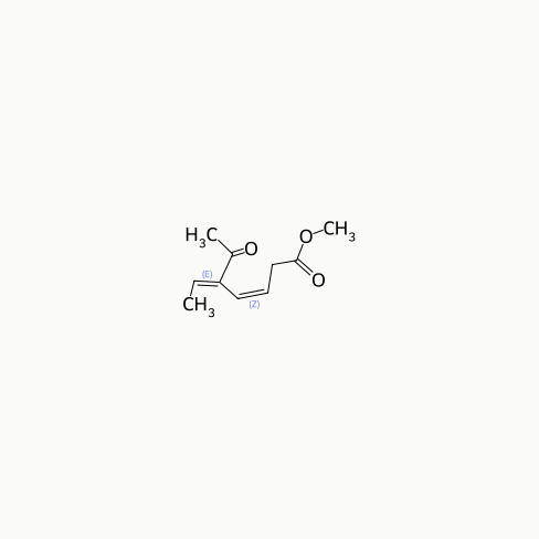 C/C=C(\C=C/CC(=O)OC)C(C)=O